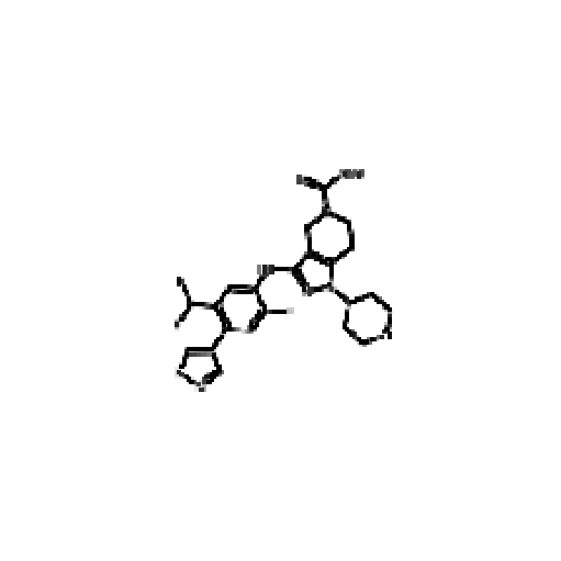 CNC(=O)N1CCc2c(c(Nc3cc(C(F)F)c(-c4cn[nH]c4)cc3F)nn2C2CCOCC2)C1